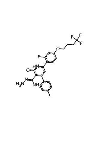 Cc1ccc(-c2cc(-c3ccc(OCCCC(F)(F)F)cc3F)[nH]c(=O)c2/C(N)=N/N)cc1